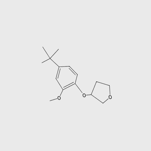 COc1cc(C(C)(C)C)ccc1OC1CCOC1